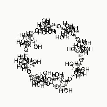 OC[C@H]1OC2O[C@H]3[C@H](O)[C@@H](O)C(O[C@H]4[C@H](O)[C@@H](O)C(O[C@H]5[C@H](O)[C@@H](O)C(O[C@H]6[C@H](O)[C@@H](O)C(O[C@H]7[C@H](O)[C@@H](O)C(O[C@H]8[C@H](O)[C@@H](O)C(O[C@H]9[C@H](O)[C@@H](O)C(OC1[C@H](O)[C@H]2O)O[C@@H]9CO)O[C@@H]8CO)O[C@@H]7CO)O[C@@H]6CO)O[C@@H]5CO)O[C@@H]4CO)O[C@@H]3CO